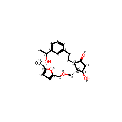 CC(O)c1cccc(CC[C@H]2C(=O)CC(O)[C@@H]2COCc2ccc(C(=O)O)o2)c1